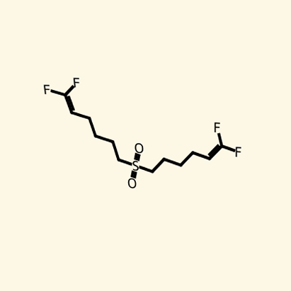 O=S(=O)(CCCCC=C(F)F)CCCCC=C(F)F